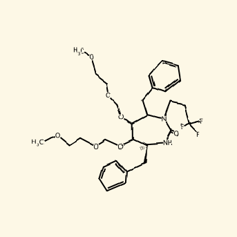 COCCOCOC1C(OCOCCOC)[C@H](Cc2ccccc2)NC(=O)N(CCC(F)(F)F)C1Cc1ccccc1